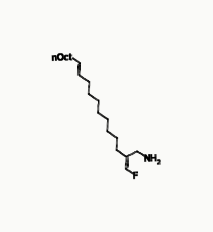 CCCCCCCCC=CCCCCCCCCC(=CF)CN